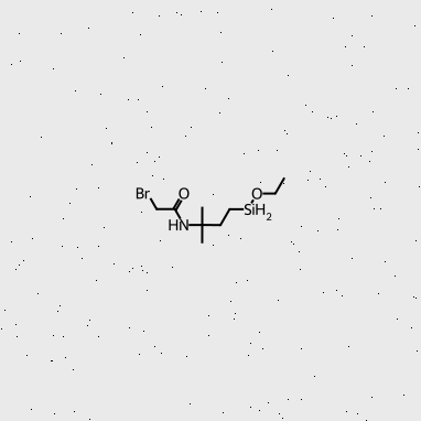 CCO[SiH2]CCC(C)(C)NC(=O)CBr